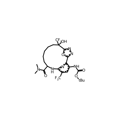 CN(C)C(=O)C1CCCCCC(O)(C(F)(F)F)c2nnc(o2)-c2nc(c(C(F)(F)F)cc2NC(=O)OC(C)(C)C)N1